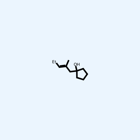 CC/C=C(\C)CC1(O)CCCC1